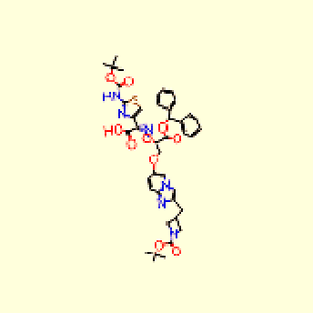 CC(C)(C)OC(=O)Nc1nc(/C(=N/OC(COc2ccc3nc(CC4CN(C(=O)OC(C)(C)C)C4)cn3c2)C(=O)OC(c2ccccc2)c2ccccc2)C(=O)O)cs1